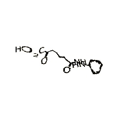 O=C(CCCC(=O)C(=O)O)NNc1ccccc1